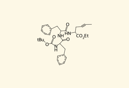 CC#CCC(NC(=O)C(Cc1ccccc1)NC(=O)C(Cc1ccccc1)NC(=O)OC(C)(C)C)C(=O)OCC